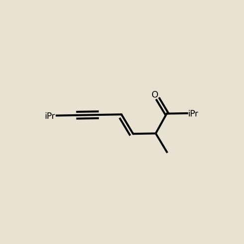 CC(C)C#C/C=C/C(C)C(=O)C(C)C